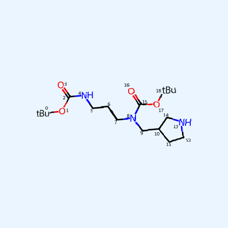 CC(C)(C)OC(=O)NCCCN(CC1CCNC1)C(=O)OC(C)(C)C